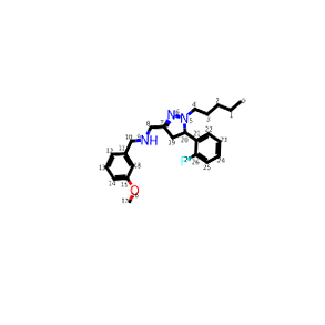 CCCCCN1N=C(CNCc2cccc(OC)c2)CC1c1ccccc1F